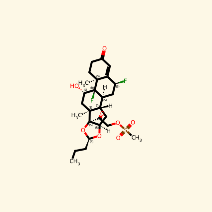 CCC[C@@H]1O[C@@H]2C[C@H]3[C@@H]4C[C@H](F)C5=CC(=O)CC[C@]5(C)[C@@]4(F)[C@@H](O)C[C@]3(C)[C@]2(C(=O)COS(C)(=O)=O)O1